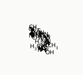 COC(=O)c1cnn(C)c1N=Nc1c(C)nn(-c2cc(-n3nc(C)c(N=Nc4c(C(=O)CO)cnn4C)c3N)ncn2)c1N